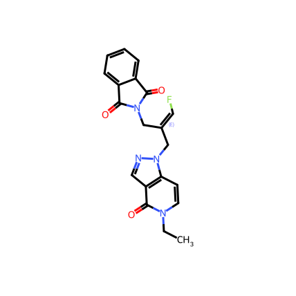 CCn1ccc2c(cnn2C/C(=C/F)CN2C(=O)c3ccccc3C2=O)c1=O